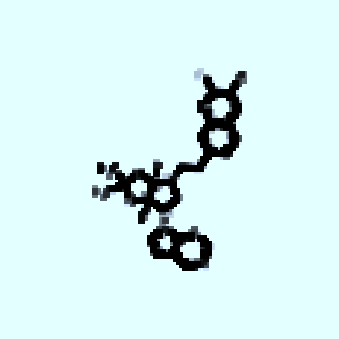 CC1(C)O[C@@H]2[C@@H](CCc3ccc4cc(Cl)c(Cl)nc4c3)C[C@@H](n3ccc4cncnc43)[C@@H]2O1